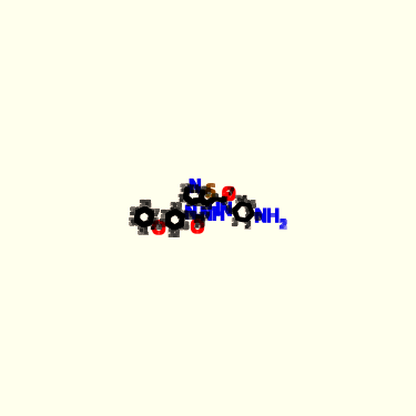 N[C@H]1CC[C@H](NC(=O)c2sc3nccc4c3c2NC(=O)N4c2ccc(Oc3ccccc3)cc2)CC1